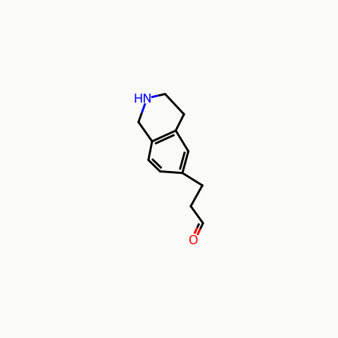 O=CCCc1ccc2c(c1)CCNC2